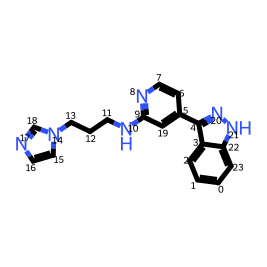 c1ccc2c(-c3ccnc(NCCCn4ccnc4)c3)n[nH]c2c1